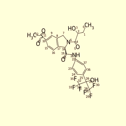 CCC(O)C(=O)N1Cc2cc(S(C)(=O)=O)ccc2[C@@H]1C(=O)Nc1ccc(C(O)(C(F)(F)F)C(F)(F)F)cc1